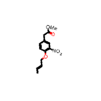 CC=CCOc1ccc(CC(=O)OC)cc1[N+](=O)[O-]